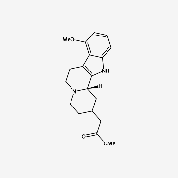 COC(=O)CC1CCN2CCc3c([nH]c4cccc(OC)c34)[C@@H]2C1